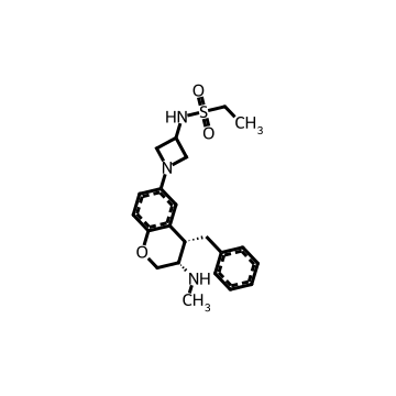 CCS(=O)(=O)NC1CN(c2ccc3c(c2)[C@H](Cc2ccccc2)[C@H](NC)CO3)C1